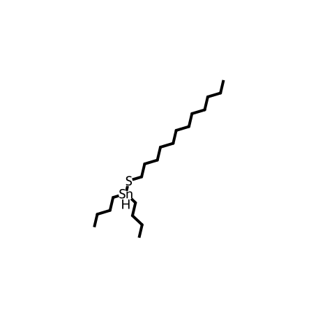 CCCCCCCCCCCC[S][SnH]([CH2]CCC)[CH2]CCC